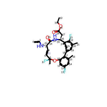 C=CN[C@H]1/C=C/C(C)(F)Oc2cc(F)cc(C)c2-c2cc(C)c(F)c(c2)[C@H](CC(=O)OCC)NC1=O